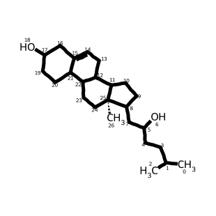 CC(C)CCC(O)CC1CCC2C3CC=C4CC(O)CCC4C3CC[C@]12C